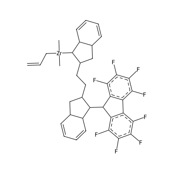 C=C[CH2][Zr]([CH3])([CH3])[CH]1C(CCC2CC3C=CC=CC3C2C2c3c(F)c(F)c(F)c(F)c3-c3c(F)c(F)c(F)c(F)c32)CC2C=CC=CC21